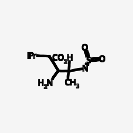 CC(C)CC(N)C(C)(N=S(=O)=O)C(=O)O